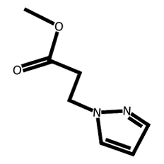 COC(=O)CCn1cccn1